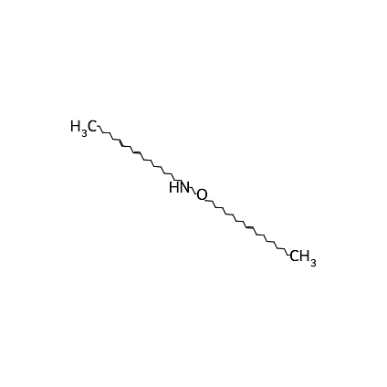 CCCCCC=CCC=CCCCCCCCCNCCOCCCCCCCCC=CCCCCCCCC